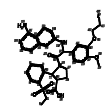 CCS(=O)(=O)c1ccccc1C1C(C(=O)O)CCN1C(=O)C(Nc1ccc2c(N)nccc2c1)c1ccc(OC)c(OCCF)c1